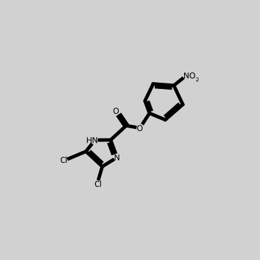 O=C(Oc1ccc([N+](=O)[O-])cc1)c1nc(Cl)c(Cl)[nH]1